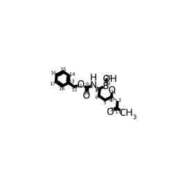 CC(=O)C[C@@H]1CC[C@H](NC(=O)OCc2ccccc2)B(O)O1